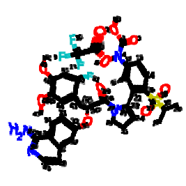 COC(=O)N(OC(=O)C(F)(F)F)c1ccc(S(=O)(=O)C(C)C)c([C@H]2CCCN2C(=O)[C@H](Oc2ccc3c(N)nccc3c2)c2cc(OC)c(OC)cc2F)c1